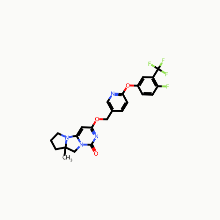 CC12CCCN1c1cc(OCc3ccc(Oc4ccc(F)c(C(F)(F)F)c4)nc3)nc(=O)n1C2